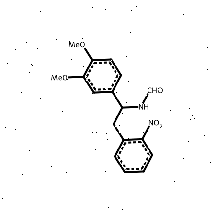 COc1ccc(C(Cc2ccccc2[N+](=O)[O-])NC=O)cc1OC